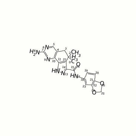 CC1(C)Cc2cnc(N)nc2-c2[nH]nc(C(=O)Nc3ccc4c(c3)OCO4)c21